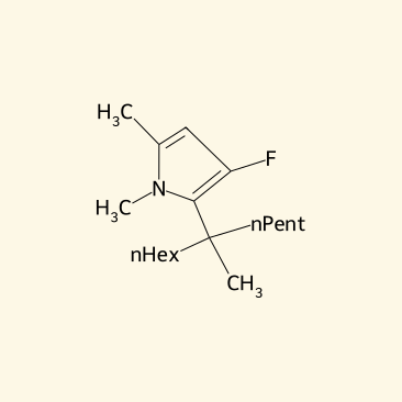 CCCCCCC(C)(CCCCC)c1c(F)cc(C)n1C